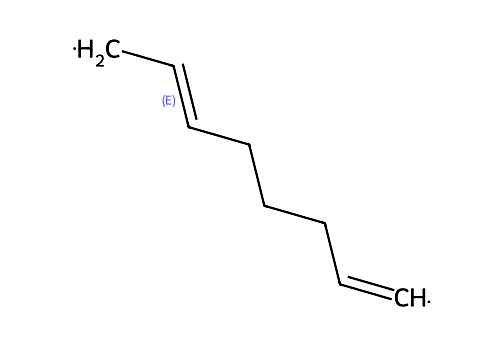 [CH]=CCCC/C=C/[CH2]